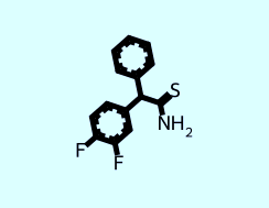 NC(=S)C(c1ccccc1)c1ccc(F)c(F)c1